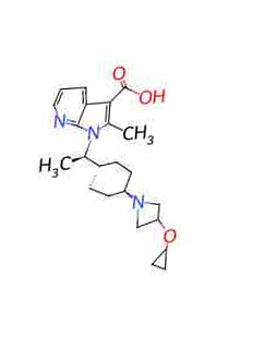 Cc1c(C(=O)O)c2cccnc2n1[C@H](C)[C@H]1CC[C@H](N2CC(OC3CC3)C2)CC1